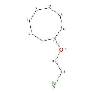 BrCCOC1CCCCCCC1